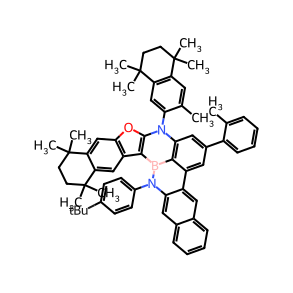 Cc1ccccc1-c1cc2c3c(c1)N(c1cc4c(cc1C)C(C)(C)CCC4(C)C)c1oc4cc5c(cc4c1B3N(c1ccc(C(C)(C)C)cc1)c1cc3ccccc3cc1-2)C(C)(C)CCC5(C)C